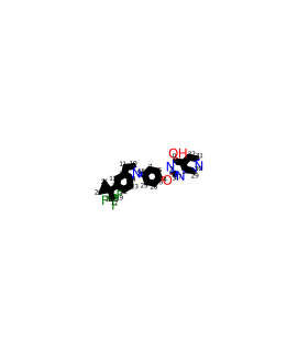 Oc1nc(Oc2ccc(-n3ccc4cc(C5(C(F)(F)F)CC5)ccc43)cc2)nc2cnccc12